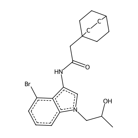 CC(O)Cn1cc(NC(=O)CC23CCC(CC2)CC3)c2c(Br)cccc21